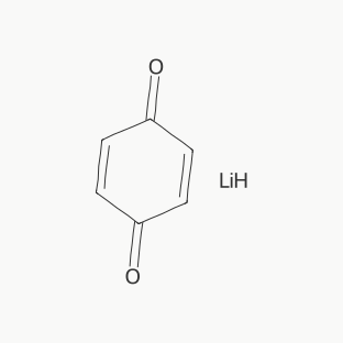 O=C1C=CC(=O)C=C1.[LiH]